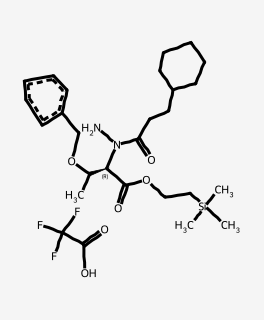 CC(OCc1ccccc1)[C@H](C(=O)OCC[Si](C)(C)C)N(N)C(=O)CCC1CCCCC1.O=C(O)C(F)(F)F